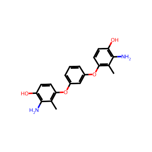 Cc1c(Oc2cccc(Oc3ccc(O)c(N)c3C)c2)ccc(O)c1N